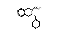 O=C(O)N1Cc2ccccc2C[C@H]1CN1CCOCC1